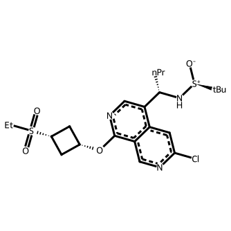 CCC[C@H](N[S@@+]([O-])C(C)(C)C)c1cnc(O[C@H]2C[C@@H](S(=O)(=O)CC)C2)c2cnc(Cl)cc12